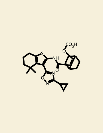 CC1(C)CCCc2sc(NC(=O)C3=C(OC(=O)O)C4CCC3CC4)c(-c3nc(C4CC4)no3)c21